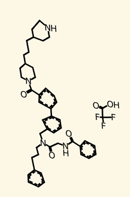 O=C(NCC(=O)N(CCCc1ccccc1)Cc1cccc(-c2cccc(C(=O)N3CCC(CCCC4CCNCC4)CC3)c2)c1)c1ccccc1.O=C(O)C(F)(F)F